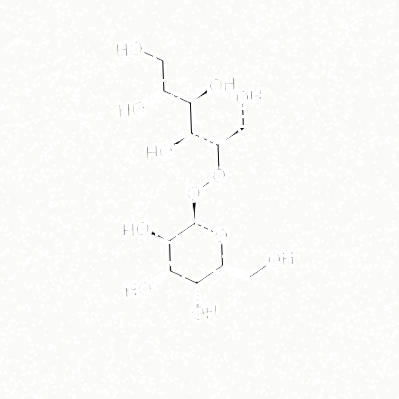 OC[C@@H](O)[C@@H](O)[C@H](O)[C@@H](CO)OO[C@H]1O[C@H](CO)[C@H](O)[C@H](O)[C@H]1O